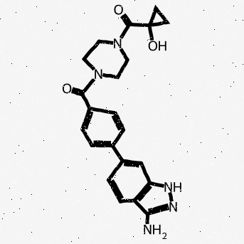 Nc1n[nH]c2cc(-c3ccc(C(=O)N4CCN(C(=O)C5(O)CC5)CC4)cc3)ccc12